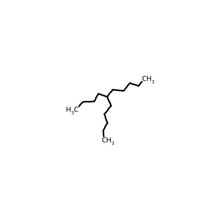 CCCCC[C](CCCC)CCCCC